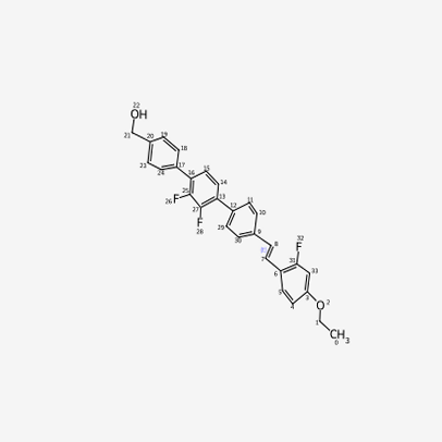 CCOc1ccc(/C=C/c2ccc(-c3ccc(-c4ccc(CO)cc4)c(F)c3F)cc2)c(F)c1